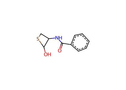 O=C(NC1CSC1O)c1ccccc1